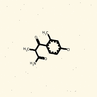 Cc1cc(Cl)ccc1C(=O)C(C)C(N)=O